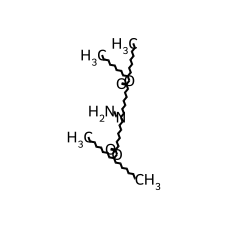 CCCCCCCCC(CCCCCCCC)OC(=O)CCCCCCCN(CCN)CCCCCCCC(=O)OC(CCCCCCCC)CCCCCCCC